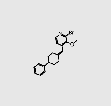 COc1c(C=C2CCC(c3ccccc3)CC2)ccnc1Br